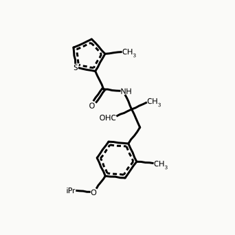 Cc1cc(OC(C)C)ccc1CC(C)(C=O)NC(=O)c1sccc1C